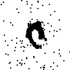 C#CCOCCOCCOCC(F)(F)c1ccc(OC2CCN(C(=O)/C=C/[n+]3ccc(OC4CCN(C(=O)C=C)CC4)nc3-c3ccccc3OC)CC2)cc1